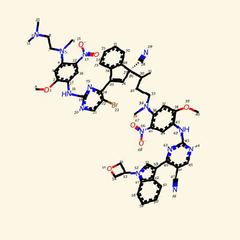 COc1cc(N(C)CCN(C)C)c([N+](=O)[O-])cc1Nc1ncc(Br)c(C2=C[C@](C#N)(C(C)CCN(C)c3cc(OC)c(Nc4ncc(C#N)c(-c5cn(C6COC6)c6ccccc56)n4)cc3[N+](=O)[O-])c3ccccc32)n1